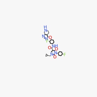 O=C(Nc1ccc(Oc2ncnc3c2CCNC3)c(F)c1)c1cn(CC2CC2)c(=O)n(-c2ccc(F)cc2)c1=O